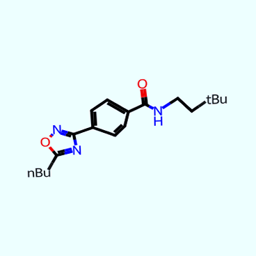 CCCCc1nc(-c2ccc(C(=O)NCCC(C)(C)C)cc2)no1